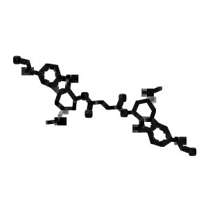 CN[C@@H]1Cc2c([nH]c3ccc(NC=O)cc23)C(OC(=O)CCC(=O)OC2C[C@H](NC)Cc3c2[nH]c2ccc(NC=O)cc32)C1